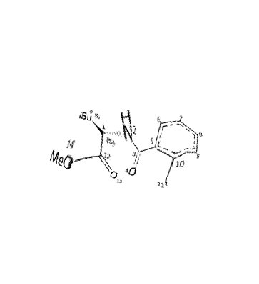 CC[C@H](C)[C@H](NC(=O)c1ccccc1I)C(=O)OC